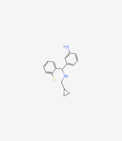 Nc1cccc(C(NCC2CC2)c2ccccc2F)c1